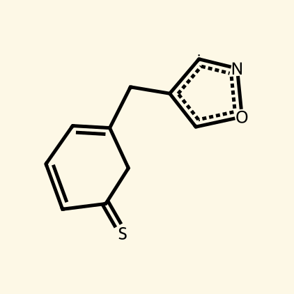 S=C1C=CC=C(Cc2[c]noc2)C1